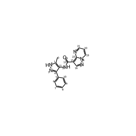 Cc1[nH]nc(-c2ccccc2)c1NC(=O)c1cnn2cccnc12